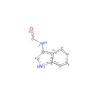 O=[C]Nc1c[nH]c2ccccc12